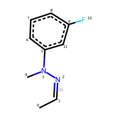 C/C=N\N(C)c1cccc(F)c1